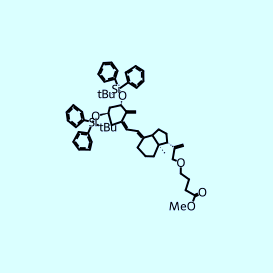 C=C1/C(=C\C=C2/CCC[C@@]3(C)C2CC[C@@H]3C(=C)COCCCC(=O)OC)C[C@@H](O[Si](c2ccccc2)(c2ccccc2)C(C)(C)C)C[C@@H]1O[Si](c1ccccc1)(c1ccccc1)C(C)(C)C